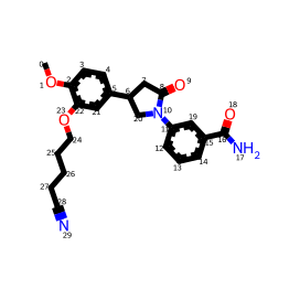 COc1ccc(C2CC(=O)N(c3cccc(C(N)=O)c3)C2)cc1OCCCCC#N